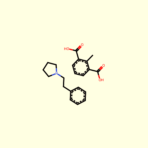 Cc1c(C(=O)O)cccc1C(=O)O.c1ccc(CCN2CCCC2)cc1